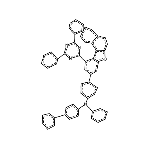 c1ccc(-c2ccc(N(c3ccccc3)c3ccc(-c4cc(-c5nc(-c6ccccc6)nc(-c6ccccc6)n5)c5c(c4)oc4ccc6ccccc6c45)cc3)cc2)cc1